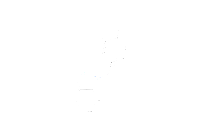 Cc1ccc(CN2N=CC3C=CC=CC32)cc1